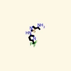 CC(N)c1cnc(Nc2ccc(C(F)(F)F)nc2)s1